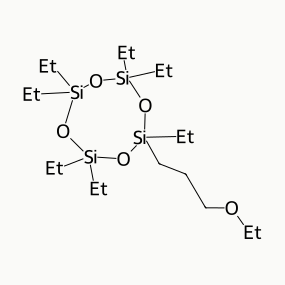 CCOCCC[Si]1(CC)O[Si](CC)(CC)O[Si](CC)(CC)O[Si](CC)(CC)O1